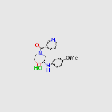 COc1ccc(NC2CN(C(=O)c3cccnc3)CCO2)cc1.Cl